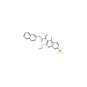 CCSc1nc2cc(C(F)(F)F)ccc2c(C)c1C(=O)NCc1ccc2ccccc2c1